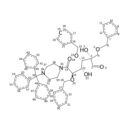 O=C[C@](O)(COCc1ccccc1)[C@@H](OCc1ccccc1)[C@H](O)[C@@H](OCc1ccccc1)C(=O)N1CCN(C(c2ccccc2)(c2ccccc2)c2ccccc2)CC1